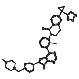 Cc1c(-c2ncnc3[nH]c(-c4ccc(CN5CCN(C)CC5)cc4)cc23)cccc1N1CCc2cc(C3(c4cnon4)CC3)ccc2C1=O